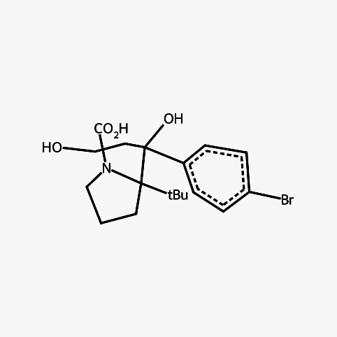 CC(C)(C)C1(C(O)(CCO)c2ccc(Br)cc2)CCCN1C(=O)O